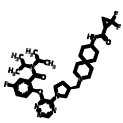 CC(C)N(C(=O)c1cc(F)ccc1Oc1nncnc1N1CC[C@@H](CN2CCC3(CCC(NC(=O)C4CC4(F)F)CC3)CC2)C1)C(C)C